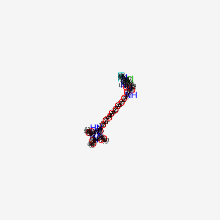 Cc1cccc(OCCC(=O)NCCOCCOCCOCCOCCOCCOCCOCCOCCNC(=O)CN2CCN(CC(=O)OC(C)(C)C)CCN(CC(=O)OC(C)(C)C)CCN(CC(=O)OC(C)(C)C)CC2)c1N(C)C(=O)c1ccc(Cl)c(-c2cnc(C(F)(F)F)cc2C#N)c1